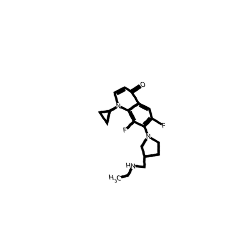 CCNCC1CCN(c2c(F)cc3c(=O)ccn(C4CC4)c3c2F)C1